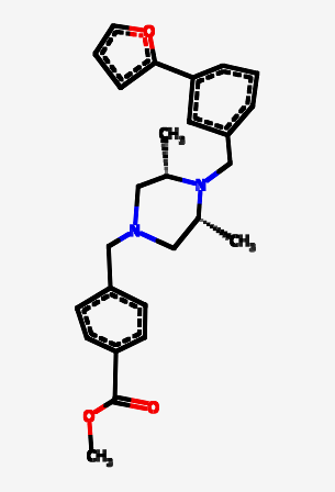 COC(=O)c1ccc(CN2C[C@@H](C)N(Cc3cccc(-c4ccco4)c3)[C@@H](C)C2)cc1